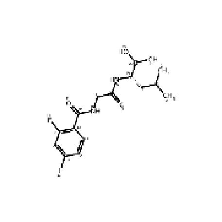 CC(C)C[C@H](NC(=O)CNC(=O)c1ccc(F)cc1F)B(O)O